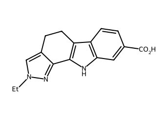 CCn1cc2c(n1)-c1[nH]c3cc(C(=O)O)ccc3c1CC2